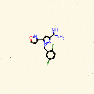 N=C(N)c1cc(-c2ccon2)n(Cc2cc(F)ccc2F)n1